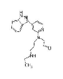 CCNCCCN(CC=O)c1cc(-c2n[nH]c3ccccc23)ccn1